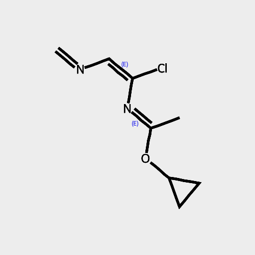 C=N/C=C(Cl)\N=C(/C)OC1CC1